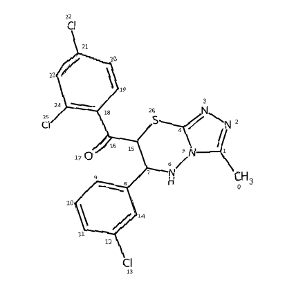 Cc1nnc2n1NC(c1cccc(Cl)c1)C(C(=O)c1ccc(Cl)cc1Cl)S2